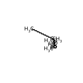 CCCCCCCCCCCCCCCCCCSC(C)(C)C(=O)CC(=O)Nc1ccccc1OC